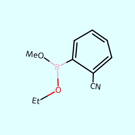 CCOB(OC)c1ccccc1C#N